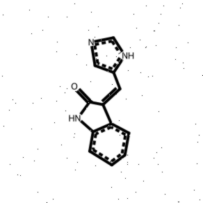 O=C1Nc2cc[c]cc2C1=Cc1cnc[nH]1